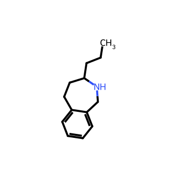 CCCC1CCc2ccccc2CN1